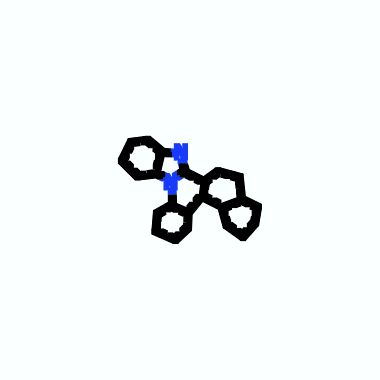 c1ccc2c(c1)ccc1c2c2ccccc2n2c3ccccc3nc12